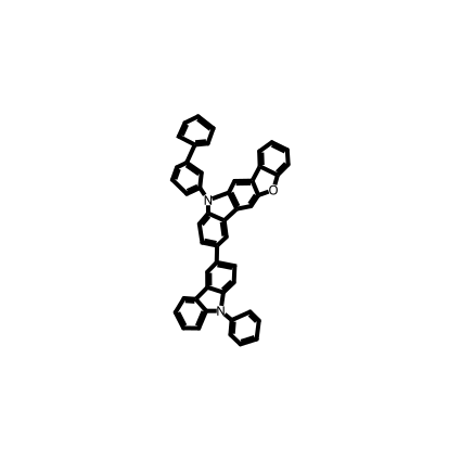 c1ccc(-c2cccc(-n3c4ccc(-c5ccc6c(c5)c5ccccc5n6-c5ccccc5)cc4c4cc5oc6ccccc6c5cc43)c2)cc1